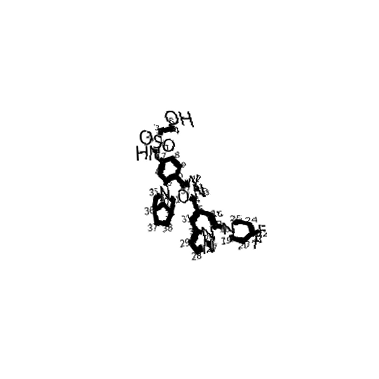 O=S(=O)(CCO)Nc1ccc(-c2nnc(-c3cc(N4CCC(F)(F)CC4)n4nccc4c3)o2)c(N2CC3CCC(C3)C2)c1